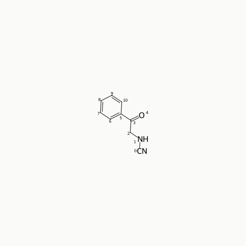 N#CNCC(=O)c1ccccc1